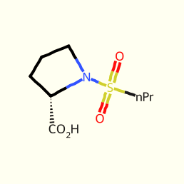 CCCS(=O)(=O)N1CCC[C@H]1C(=O)O